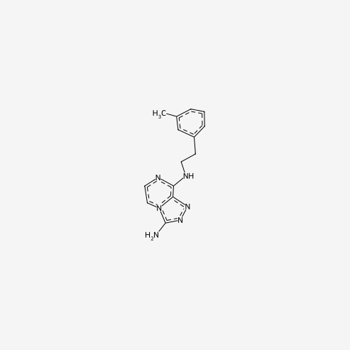 Cc1cccc(CCNc2nccn3c(N)nnc23)c1